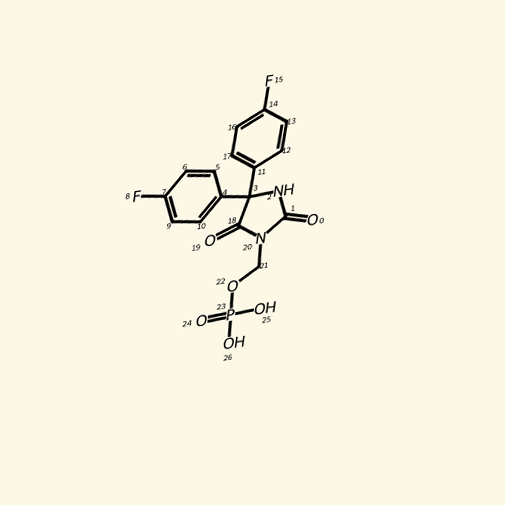 O=C1NC(c2ccc(F)cc2)(c2ccc(F)cc2)C(=O)N1COP(=O)(O)O